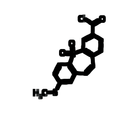 CSc1ccc2c(c1)C=Cc1ccc(C(=O)Cl)cc1S2(=O)=O